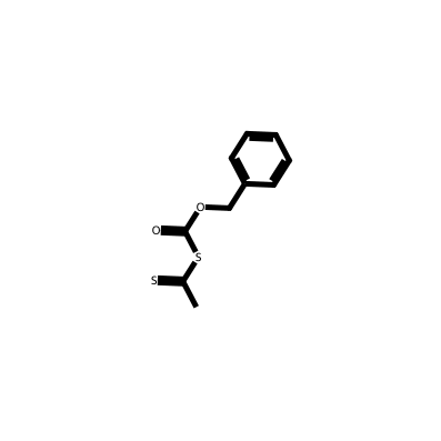 CC(=S)SC(=O)OCc1ccccc1